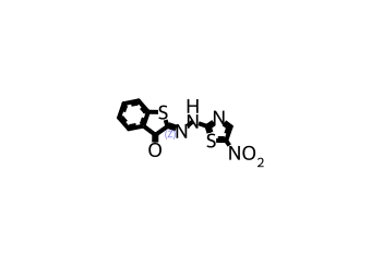 O=C1/C(=N/Nc2ncc([N+](=O)[O-])s2)Sc2ccccc21